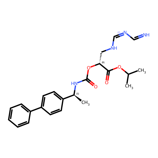 CC(C)OC(=O)[C@@H](CN/C=N\C=N)OC(=O)N[C@@H](C)c1ccc(-c2ccccc2)cc1